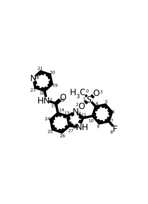 CS(=O)(=O)c1ccc(F)cc1-c1nc2c(C(=O)Nc3cccnc3)cccc2[nH]1